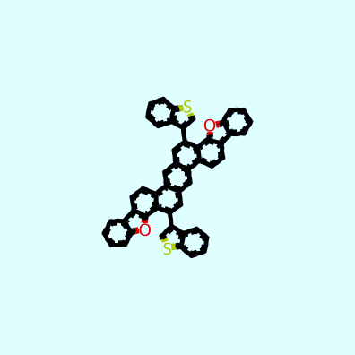 c1ccc2c(c1)oc1c2ccc2c3cc4cc(-c5csc6ccccc56)c5c(ccc6c7ccccc7oc65)c4cc3cc(-c3csc4ccccc34)c21